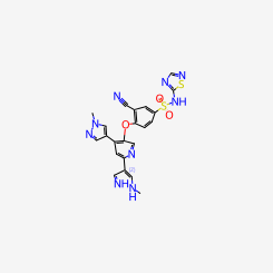 CN/C=C(\C=N)c1cc(-c2cnn(C)c2)c(Oc2ccc(S(=O)(=O)Nc3ncns3)cc2C#N)cn1